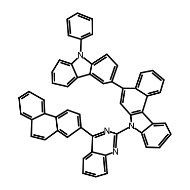 c1ccc(-n2c3ccccc3c3cc(-c4cc5c(c6ccccc46)c4ccccc4n5-c4nc(-c5ccc6c(ccc7ccccc76)c5)c5ccccc5n4)ccc32)cc1